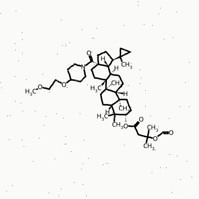 COCCOC1CCN(C(=O)[C@]23CC[C@@H](C4(C)CC4)[C@@H]2[C@H]2CC[C@@H]4[C@@]5(C)CC[C@H](OC(=O)CC(C)(C)OC=O)C(C)(C)[C@@H]5CC[C@@]4(C)[C@]2(C)CC3)CC1